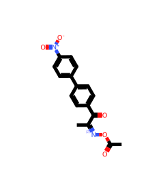 CC(=O)O/N=C(/C)C(=O)c1ccc(-c2ccc([N+](=O)[O-])cc2)cc1